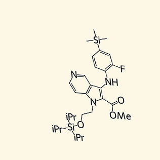 COC(=O)c1c(Nc2ccc([Si](C)(C)C)cc2F)c2cnccc2n1CCO[Si](C(C)C)(C(C)C)C(C)C